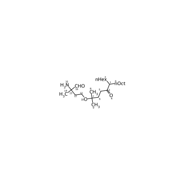 CCCCCCCCC(CCCCCC)C(=O)CCC(C)(C)OCCC(C)(N)C=O